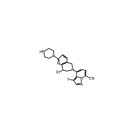 CC[C@@H]1CN(c2ccc(C#N)n3ncc(F)c23)Cc2ccc(N3CCNCC3)nc21